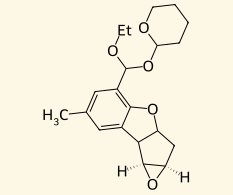 CCOC(OC1CCCCO1)c1cc(C)cc2c1OC1C[C@H]3O[C@H]3C21